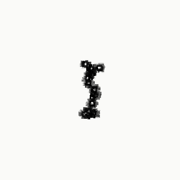 c1ccc(-c2nc(-c3ccccc3)nc(-c3ccc4ccc(-c5ccc6ccc(-c7ccc(-c8cc9cccnc9c9ncccc89)cc7)nc6c5)cc4n3)n2)cc1